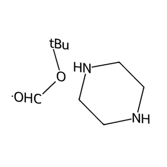 C1CNCCN1.CC(C)(C)O[C]=O